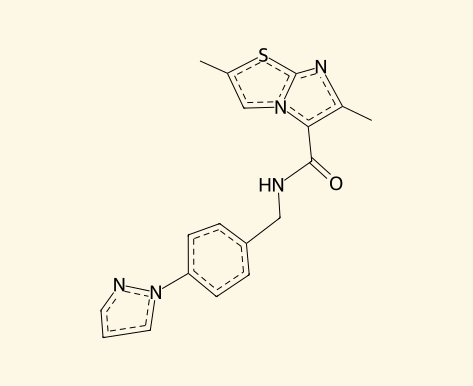 Cc1cn2c(C(=O)NCc3ccc(-n4cccn4)cc3)c(C)nc2s1